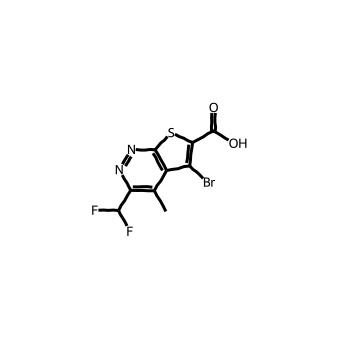 Cc1c(C(F)F)nnc2sc(C(=O)O)c(Br)c12